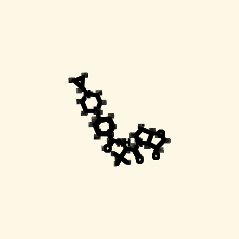 CC(C)(C)[C@H](NC(=O)c1ccc(N2CCN(C3CC3)CC2)cc1)C(=O)N1CCC2OCC(=O)C21